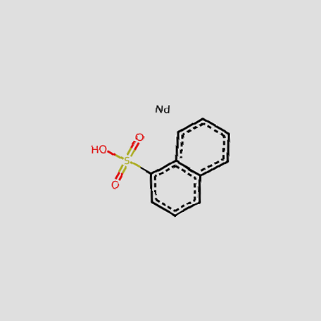 O=S(=O)(O)c1cccc2ccccc12.[Nd]